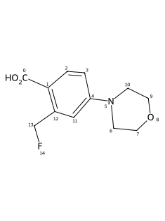 O=C(O)c1ccc(N2CCOCC2)cc1CF